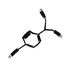 N#Cc1ccc(C(C#N)C#N)cc1